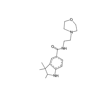 CC1Nc2ccc(C(=O)NCCN3CCOCC3)cc2C1(C)C